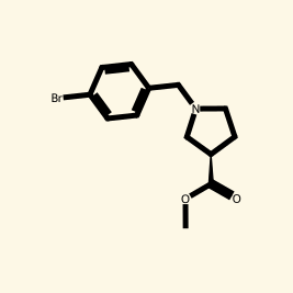 COC(=O)[C@@H]1CCN(Cc2ccc(Br)cc2)C1